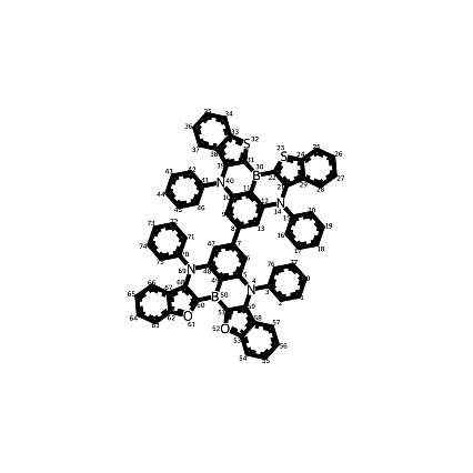 c1ccc(N2c3cc(-c4cc5c6c(c4)N(c4ccccc4)c4c(sc7ccccc47)B6c4sc6ccccc6c4N5c4ccccc4)cc4c3B(c3oc5ccccc5c32)c2oc3ccccc3c2N4c2ccccc2)cc1